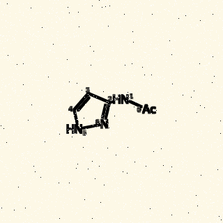 CC(=O)Nc1[c]c[nH]n1